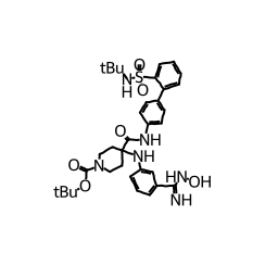 CC(C)(C)NS(=O)(=O)c1ccccc1-c1ccc(NC(=O)C2(Nc3cccc(C(=N)NO)c3)CCN(C(=O)OC(C)(C)C)CC2)cc1